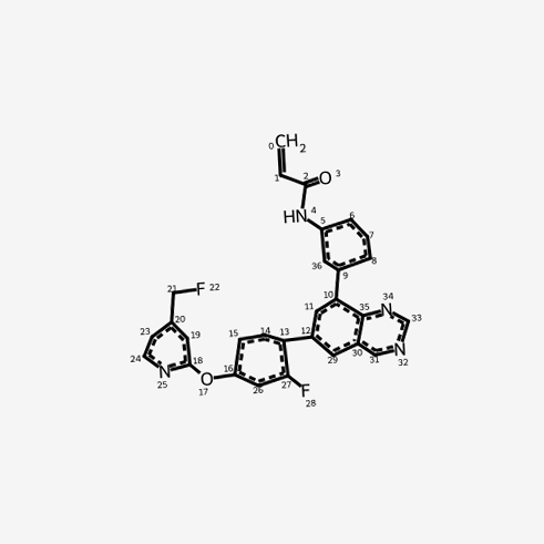 C=CC(=O)Nc1cccc(-c2cc(-c3ccc(Oc4cc(CF)ccn4)cc3F)cc3cncnc23)c1